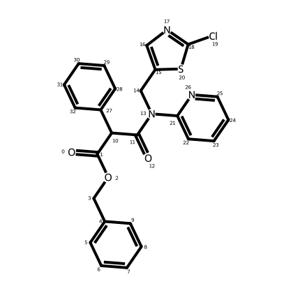 O=C(OCc1ccccc1)C(C(=O)N(Cc1cnc(Cl)s1)c1ccccn1)c1ccccc1